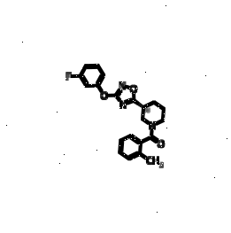 Cc1ccccc1C(=O)N1CCC[C@H](c2nc(Oc3cccc(F)c3)no2)C1